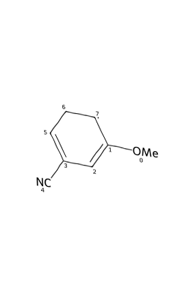 COC1=CC(C#N)=CC[CH]1